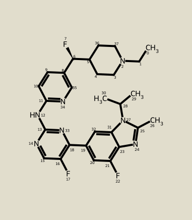 CCN1CCC([C@H](F)c2ccc(Nc3ncc(F)c(-c4cc(F)c5nc(C)n(C(C)C)c5c4)n3)nc2)CC1